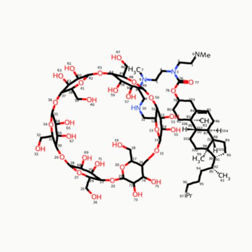 CNCCN(CCN(C)CCNCC1OC2OC3C(CO)OC(OC4C(CO)OC(OC5C(CO)OC(OC6C(CO)OC(OC7C(CO)OC(OC1C(O)C2O)C(O)C7O)C(O)C6O)C(O)C5O)C(O)C4O)C(O)C3O)C(=O)OC1CC[C@@]2(C)C(=CC[C@H]3[C@@H]4CC[C@H]([C@H](C)CCCC(C)C)[C@@]4(C)CC[C@@H]32)C1